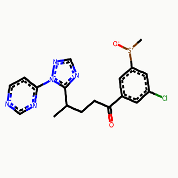 CC(CCC(=O)c1cc(Cl)cc([S+](C)[O-])c1)c1ncnn1-c1ccncn1